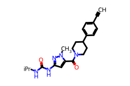 C#Cc1ccc(C2CCN(C(=O)c3cc(NC(=O)NC(C)C)nn3C)CC2)cc1